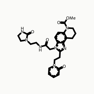 COC(=O)N1CCCc2c1ccc1c2nc(CCn2ccccc2=O)n1CC(=O)NCCN1CCNC1=O